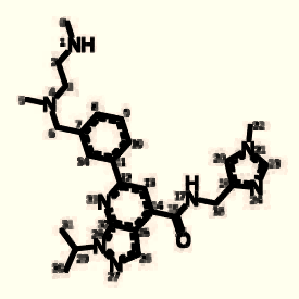 CNCCN(C)Cc1cccc(-c2cc(C(=O)NCc3cn(C)cn3)c3cnn(C(C)C)c3n2)c1